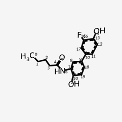 CCCCC(=O)Nc1cc(-c2ccc(O)c(F)c2)ccc1O